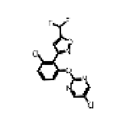 FC(F)c1cc(-c2c(Cl)cccc2Oc2ncc(Cl)cn2)no1